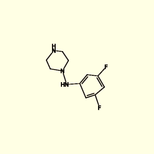 Fc1cc(F)cc(NN2CCNCC2)c1